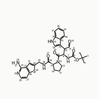 CC(C)(C)OC(=O)N[C@@H](C(=O)N1CCC[C@H]1C(=O)NCc1cc2c(N)nccc2s1)C(C=O)c1c[nH]c2ccccc12